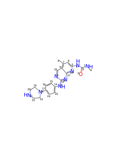 CNC(=O)Nc1cc(C)c2cnc(Nc3ccc(N4CCNCC4)cc3)nc2n1